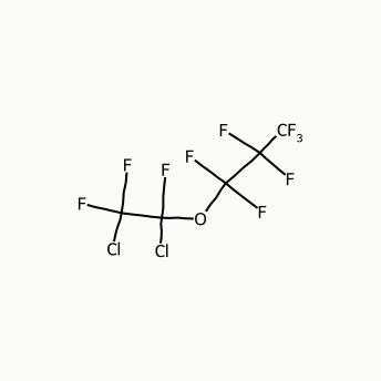 FC(F)(F)C(F)(F)C(F)(F)OC(F)(Cl)C(F)(F)Cl